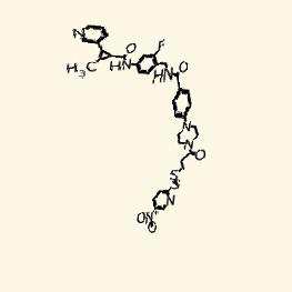 CC1C(C(=O)Nc2ccc(CNC(=O)c3ccc(N4CCN(C(=O)CCSSc5ccc([N+](=O)[O-])cn5)CC4)cc3)c(F)c2)C1c1cccnc1